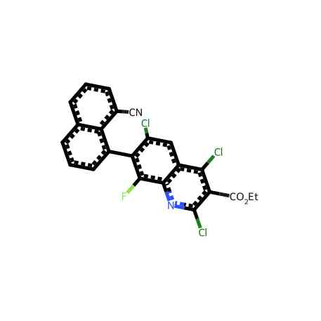 CCOC(=O)c1c(Cl)nc2c(F)c(-c3cccc4cccc(C#N)c34)c(Cl)cc2c1Cl